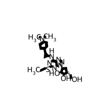 CCCSc1nc(NC2CC2c2ccc(N(C)C)cc2)c2nnn([C@@H]3C[C@H](CCO)[C@@H](O)[C@H]3O)c2n1